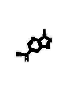 CCNc1cnc2c(c1)nnn2C